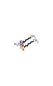 CCCCCCCCS(=O)(=O)[O-].CCCCCCCC[N+](C)(C)C